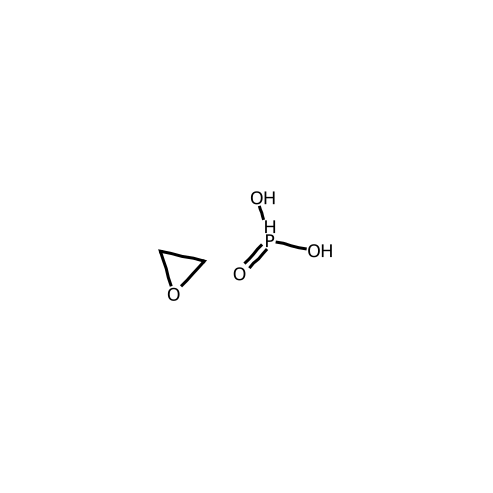 C1CO1.O=[PH](O)O